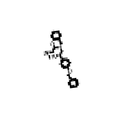 O=C(CBr)N(Cc1ccccc1)C[C@@H](O)c1ccc(OCc2ccccc2)cc1